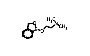 CN(C)CCOB1OCc2ccccc21